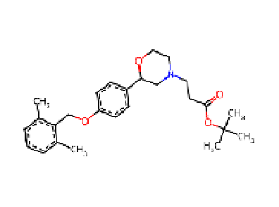 Cc1cccc(C)c1COc1ccc(C2CN(CCC(=O)OC(C)(C)C)CCO2)cc1